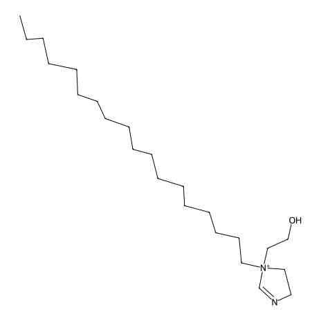 CCCCCCCCCCCCCCCCCC[N+]1(CCO)C=NCC1